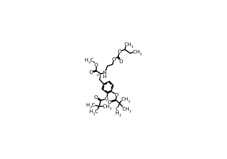 CCC(C)OC(=O)OCCN[C@@H](Cc1ccc(OC(=O)C(C)(C)C)c(OC(=O)C(C)(C)C)c1)C(=O)OC